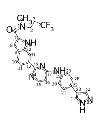 CN(CCC(F)(F)F)C(=O)c1cc2ccc(-c3nccc(Nc4ccc(-c5cn[nH]c5)cc4)n3)cc2[nH]1